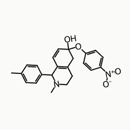 Cc1ccc(C2C3=C(CCN2C)CC(O)(Oc2ccc([N+](=O)[O-])cc2)C=C3)cc1